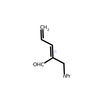 C=C/C=C(\[C]=O)CCCC